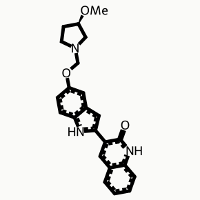 CO[C@@H]1CCN(COc2ccc3[nH]c(-c4cc5ccccc5[nH]c4=O)cc3c2)C1